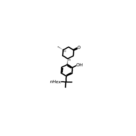 CCCCCCC(C)(C)c1ccc([C@H]2CC(=O)C[C@@H](C)C2)c(O)c1